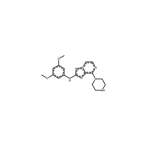 COc1cc(Nc2nc3c(N4CCNCC4)nccn3n2)cc(OC)c1